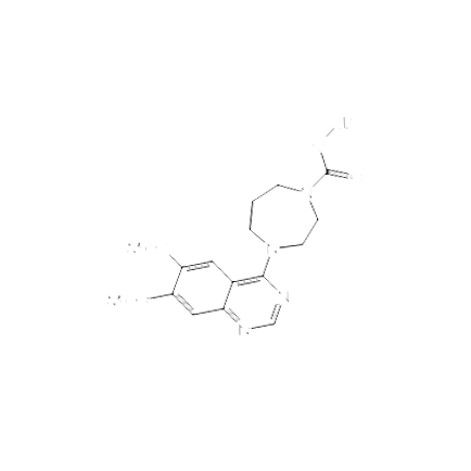 COc1cc2ncnc(N3CCCN(C(=O)OC(C)(C)C)CC3)c2cc1OC